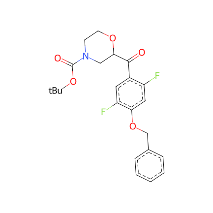 CC(C)(C)OC(=O)N1CCOC(C(=O)c2cc(F)c(OCc3ccccc3)cc2F)C1